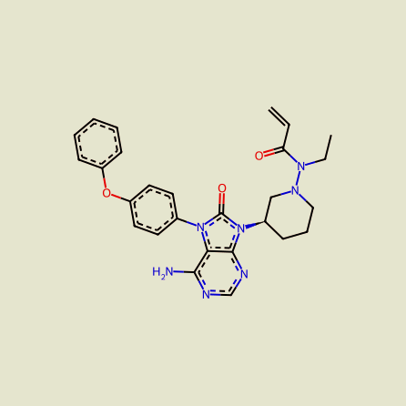 C=CC(=O)N(CC)N1CCC[C@@H](n2c(=O)n(-c3ccc(Oc4ccccc4)cc3)c3c(N)ncnc32)C1